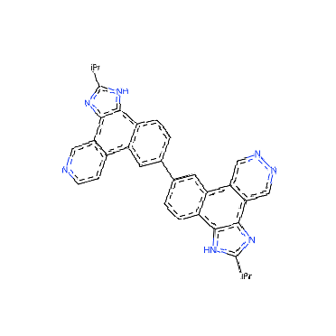 CC(C)c1nc2c3cnccc3c3cc(-c4ccc5c(c4)c4cnncc4c4nc(C(C)C)[nH]c54)ccc3c2[nH]1